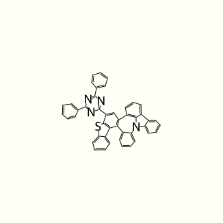 c1ccc(-c2nc(-c3ccccc3)nc(-c3cc4c(c5c3sc3ccccc35)-c3ccccc3-n3c5ccccc5c5cccc-4c53)n2)cc1